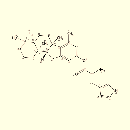 Cc1cc(OC(=O)C(N)Cc2c[nH]cn2)cc2c1C1(C)CCC3C(C)(C)CCC[C@]3(C)[C@H]1C2